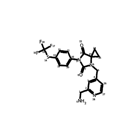 NCc1cc(CN2C(=O)N(c3ccc(SC(F)(F)F)cc3)C(=O)C23CC3)ccn1